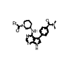 CCC(=O)N1CCC[C@@H](Nc2ncnc3[nH]cc(-c4ccc(C(=O)N(C)C)cc4)c23)C1